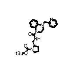 CC(C)(C)OC(=O)N1CCC[C@@H]1CNC(=O)N1CCN(Cc2ccccn2)c2ccccc21